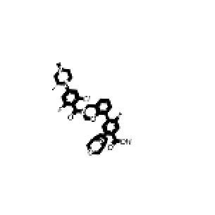 C[C@@H]1CN(C)CCN1c1cc(F)c(C(=O)N2COc3c(cccc3-c3cc(N4C5CCC4COC5)c(C(=O)O)cc3F)C2)c(Cl)c1